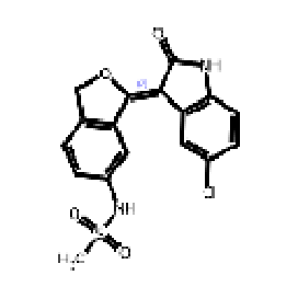 CS(=O)(=O)Nc1ccc2c(c1)/C(=C1/C(=O)Nc3ccc(Cl)cc31)OC2